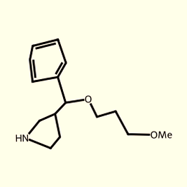 COCCCOC(c1ccccc1)C1CCNC1